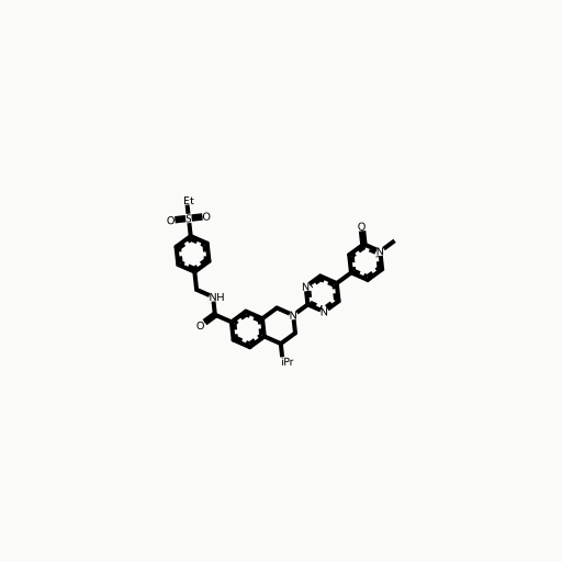 CCS(=O)(=O)c1ccc(CNC(=O)c2ccc3c(c2)CN(c2ncc(-c4ccn(C)c(=O)c4)cn2)CC3C(C)C)cc1